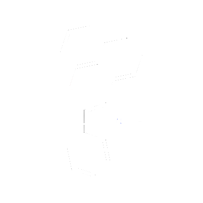 Cn1c(-c2cccc3cccc(Br)c23)cc2ccccc21